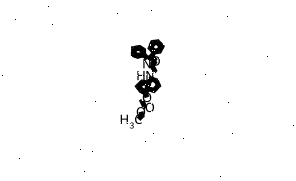 CCOC(=O)COc1cccc2c1CCC[C@H]2NCc1nc(-c2ccccc2)c(-c2ccccc2)o1